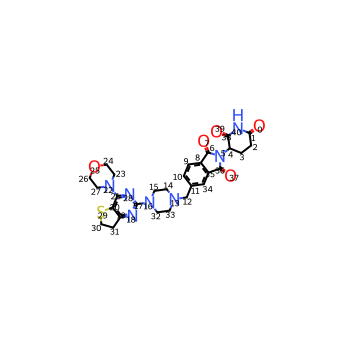 O=C1CCC(N2C(=O)c3ccc(CN4CCN(c5nc6c(c(N7CCOCC7)n5)SCC6)CC4)cc3C2=O)C(=O)N1